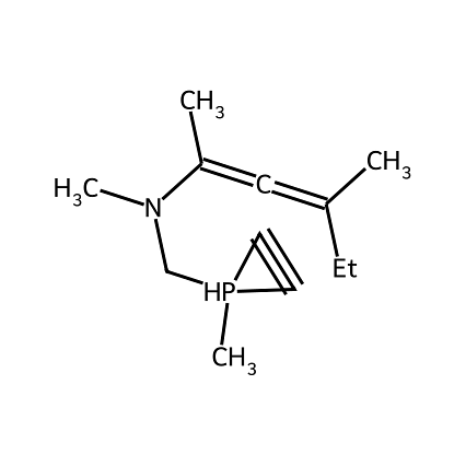 CCC(C)=C=C(C)N(C)C[PH]1(C)C#C1